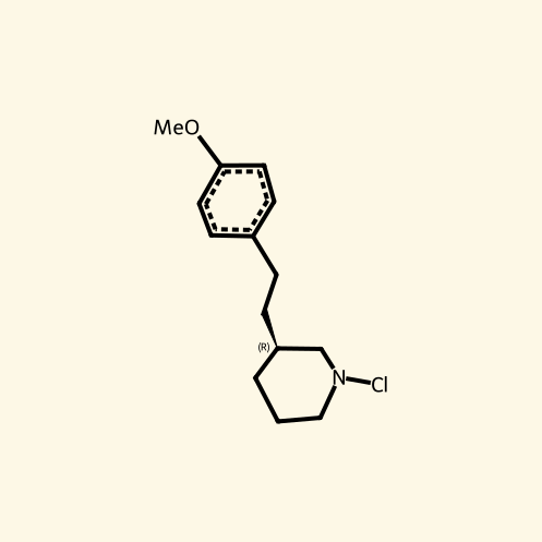 COc1ccc(CC[C@@H]2CCCN(Cl)C2)cc1